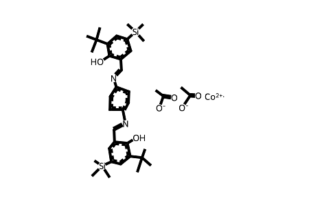 CC(=O)[O-].CC(=O)[O-].CC(C)(C)c1cc([Si](C)(C)C)cc(C=Nc2ccc(N=Cc3cc([Si](C)(C)C)cc(C(C)(C)C)c3O)cc2)c1O.[Co+2]